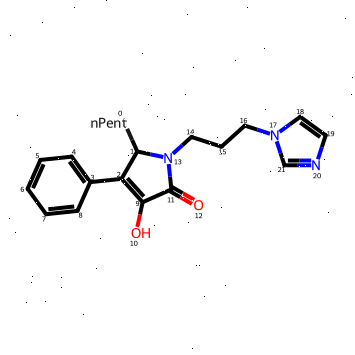 CCCCCC1C(c2ccccc2)=C(O)C(=O)N1CCCn1ccnc1